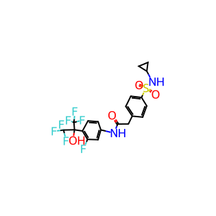 O=C(Cc1ccc(S(=O)(=O)NC2CC2)cc1)Nc1ccc(C(O)(C(F)(F)F)C(F)(F)F)c(F)c1